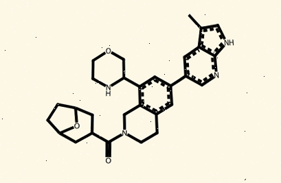 Cc1c[nH]c2ncc(-c3cc4c(c(C5COCCN5)c3)CN(C(=O)C3CC5CCC(C3)O5)CC4)cc12